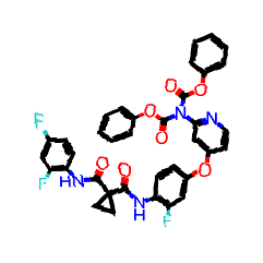 O=C(Oc1ccccc1)N(C(=O)Oc1ccccc1)c1cc(Oc2ccc(NC(=O)C3(C(=O)Nc4ccc(F)cc4F)CC3)c(F)c2)ccn1